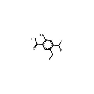 Nc1cc(C(F)F)c(CI)cc1C(=O)O